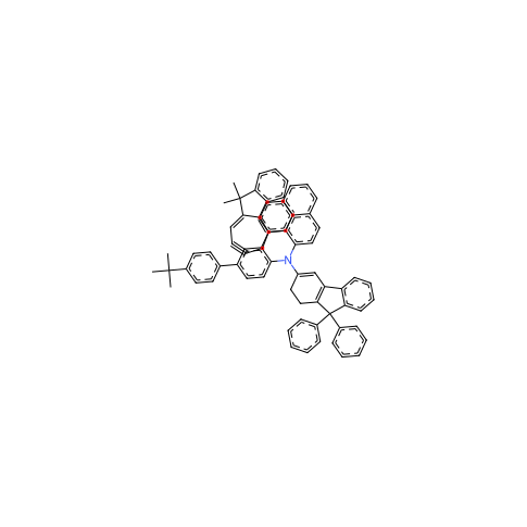 CC(C)(C)c1ccc(-c2ccc(N(C3=CC4=C(CC3)C(c3ccccc3)(c3ccccc3)c3ccccc34)c3ccc4ccccc4c3C3=C4C(=CC#CC3)C(C)(C)c3ccccc34)c(-c3ccccc3)c2)cc1